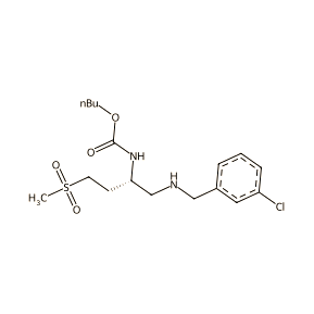 CCCCOC(=O)N[C@@H](CCS(C)(=O)=O)CNCc1cccc(Cl)c1